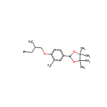 C[C](COc1ccc(B2OC(C)(C)C(C)(C)O2)cc1C(F)(F)F)CC(C)C